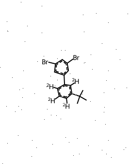 [2H]c1c([2H])c(-c2cc(Br)cc(Br)c2)c([2H])c(C(C)(C)C)c1[2H]